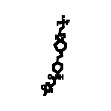 Cc1nc(CC(=O)N[C@H]2CC[C@H](CCN3CCc4nc(CCC(F)(F)F)sc4CC3)CC2)no1